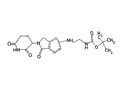 CC(C)(C)OC(=O)NCCNc1ccc2c(c1)CN(C1CCC(=O)NC1=O)C2=O